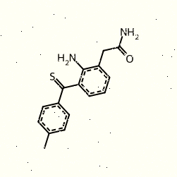 Cc1ccc(C(=S)c2cccc(CC(N)=O)c2N)cc1